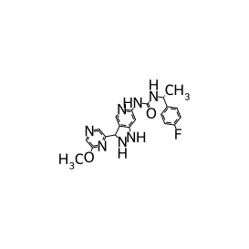 COc1cncc(C2NNc3cc(NC(=O)N[C@H](C)c4ccc(F)cc4)ncc32)n1